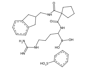 N=C(N)NCCCC(NC(=O)C1(C(=O)NCC2Cc3ccccc3C2)CCCC1)B(O)O.O=S(=O)(O)c1ccccc1